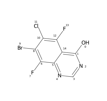 Oc1ncnc2c(F)c(Br)c(Cl)c(F)c12